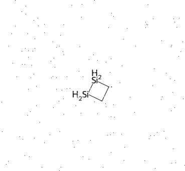 [CH]1C[SiH2][SiH2]1